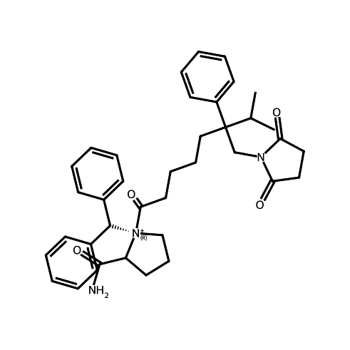 CC(C)C(CCCCC(=O)[N@@+]1(C(c2ccccc2)c2ccccc2)CCCC1C(N)=O)(CN1C(=O)CCC1=O)c1ccccc1